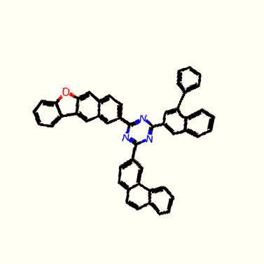 c1ccc(-c2cc(-c3nc(-c4ccc5cc6oc7ccccc7c6cc5c4)nc(-c4ccc5ccc6ccccc6c5c4)n3)cc3ccccc23)cc1